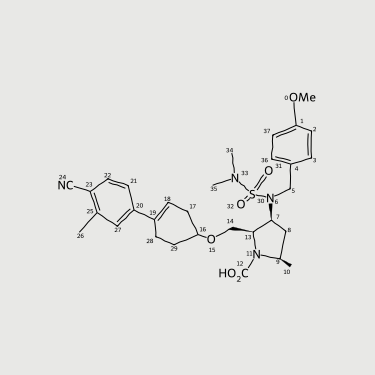 COc1ccc(CN([C@H]2C[C@@H](C)N(C(=O)O)[C@H]2COC2CC=C(c3ccc(C#N)c(C)c3)CC2)S(=O)(=O)N(C)C)cc1